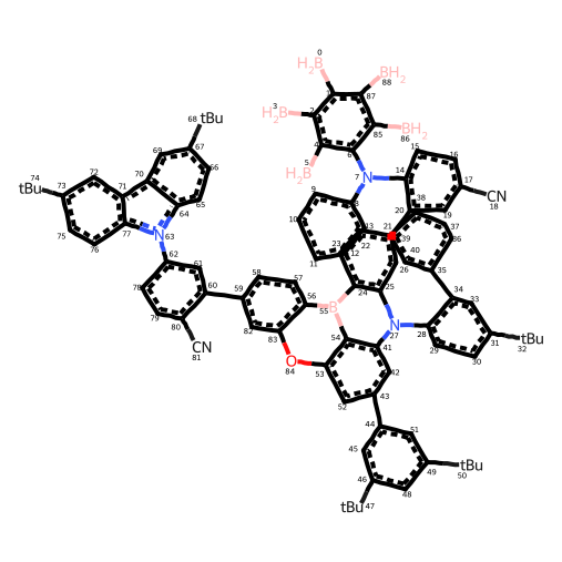 Bc1c(B)c(B)c(N(c2ccccc2)c2ccc(C#N)cc2-c2ccc3c(c2)N(c2ccc(C(C)(C)C)cc2-c2ccccc2)c2cc(-c4cc(C(C)(C)C)cc(C(C)(C)C)c4)cc4c2B3c2ccc(-c3cc(-n5c6ccc(C(C)(C)C)cc6c6cc(C(C)(C)C)ccc65)ccc3C#N)cc2O4)c(B)c1B